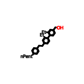 CCCCCc1ccc(CCc2ccc(-c3ccc(CO)cc3CC)c(CC)c2)cc1